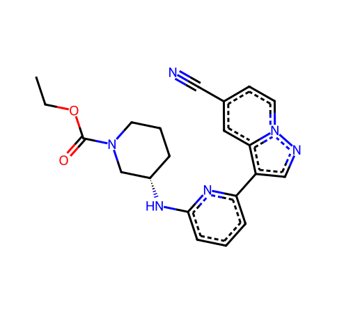 CCOC(=O)N1CCC[C@H](Nc2cccc(-c3cnn4ccc(C#N)cc34)n2)C1